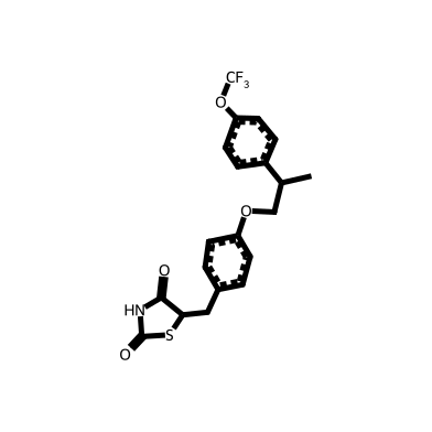 CC(COc1ccc(CC2SC(=O)NC2=O)cc1)c1ccc(OC(F)(F)F)cc1